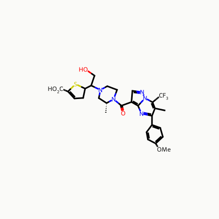 COc1ccc(-c2nc3c(C(=O)N4CCN(C(CO)C5CC=C(C(=O)O)S5)C[C@H]4C)cnn3c(C(F)(F)F)c2C)cc1